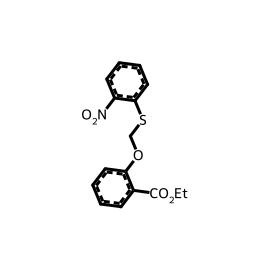 CCOC(=O)c1ccccc1OCSc1ccccc1[N+](=O)[O-]